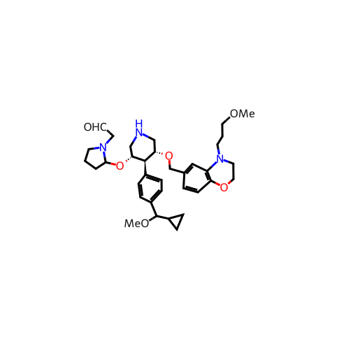 COCCCN1CCOc2ccc(CO[C@H]3CNC[C@@H](OC4CCCN4CC=O)[C@@H]3c3ccc(C(OC)C4CC4)cc3)cc21